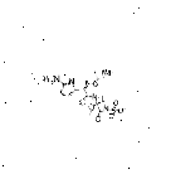 COC1(NC(=O)C(=NOC(C)C)c2csc(N)n2)CN(S(=O)(=O)[O-])C1=O.[Na+]